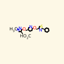 Cn1cc(CC(=O)O)c(OCc2ccc(OCc3csc(-c4ccccc4)n3)nc2)n1